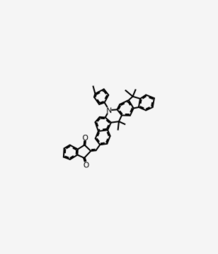 Cc1ccc(N2c3cc4c(cc3C(C)(C)c3c2ccc2cc(C=C5C(=O)c6ccccc6C5=O)ccc32)-c2ccccc2C4(C)C)cc1